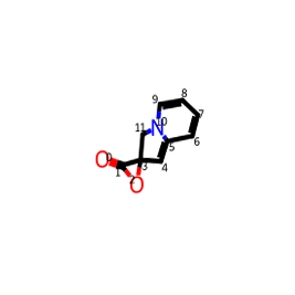 O=C1OC12C=C1C=CC=CN1C2